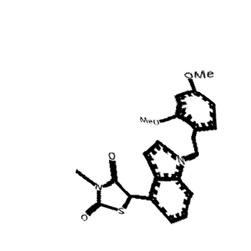 COc1ccc(Cn2ccc3c(C4SC(=O)N(C)C4=O)cccc32)c(OC)c1